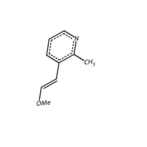 COC=Cc1cccnc1C